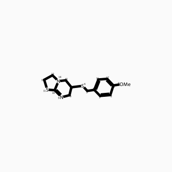 COc1ccc(CSC2CN=C3SCCN3C2)cc1